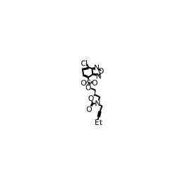 CCC#CCN1C[C@H](COS(=O)(=O)c2ccc(Cl)c3nonc23)OC1=O